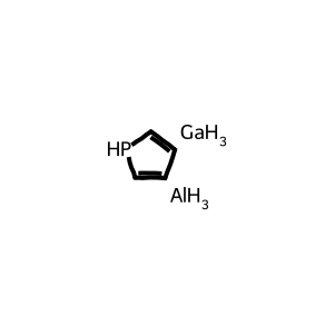 [AlH3].[GaH3].c1cc[pH]c1